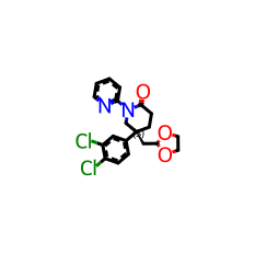 O=C1CC[C@](CC2OCCO2)(c2ccc(Cl)c(Cl)c2)CN1c1ccccn1